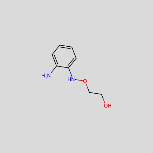 Nc1ccccc1NOCCO